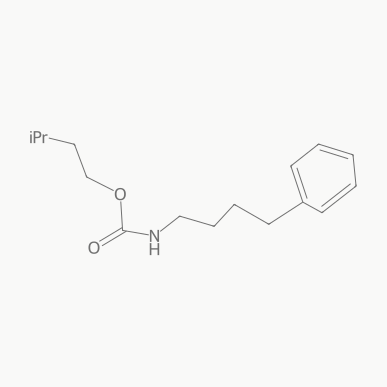 CC(C)CCOC(=O)NCCCCc1ccccc1